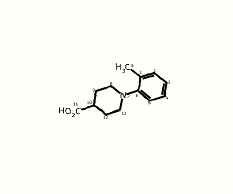 Cc1ccccc1N1CCC(C(=O)O)CC1